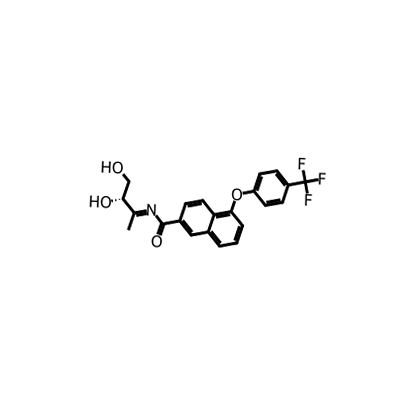 C/C(=N\C(=O)c1ccc2c(Oc3ccc(C(F)(F)F)cc3)cccc2c1)[C@H](O)CO